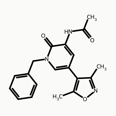 CC(=O)Nc1cc(-c2c(C)noc2C)cn(Cc2ccccc2)c1=O